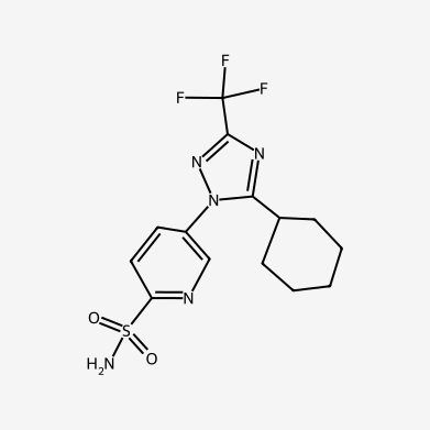 NS(=O)(=O)c1ccc(-n2nc(C(F)(F)F)nc2C2CCCCC2)cn1